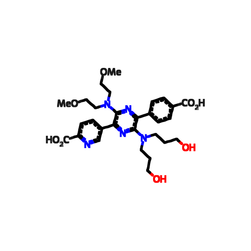 COCCN(CCOC)c1nc(-c2ccc(C(=O)O)cc2)c(N(CCCO)CCCO)nc1-c1ccc(C(=O)O)nc1